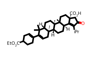 CCOC(=O)C1CC=C(C2=CC[C@]3(C)[C@H]4CC[C@@H]5C6=C(C(C)C)C(=O)C[C@]6(C(=O)O)CC[C@@]5(C)[C@]4(C)CC[C@H]3C2(C)C)CC1